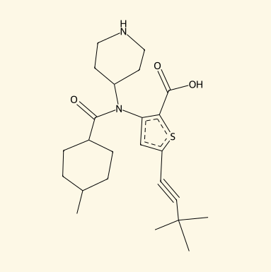 CC1CCC(C(=O)N(c2cc(C#CC(C)(C)C)sc2C(=O)O)C2CCNCC2)CC1